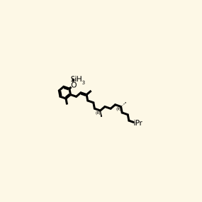 CC(=CCc1c(C)cccc1O[SiH3])CCC[C@H](C)CCC[C@H](C)CCCC(C)C